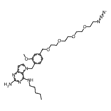 CCCCCNc1nc(N)nc2ccn(Cc3ccc(COCCOCCOCCOCCN=[N+]=[N-])cc3OC)c12